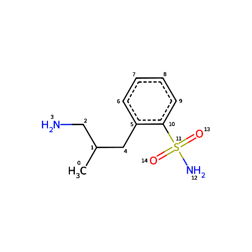 CC(CN)Cc1ccccc1S(N)(=O)=O